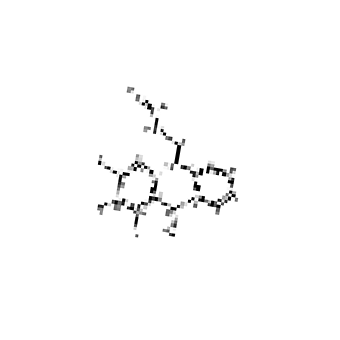 Cc1ccc(C(=O)c2ccccc2CCOP=O)c(C)c1C